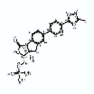 Cc1nnc(-c2ccc(-c3ccc4c(c3)C[C@H]3[C@H](COP(=O)(O)O)OC(=O)N43)cn2)o1